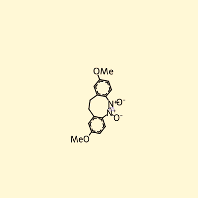 COc1ccc2c(c1)CCc1cc(OC)ccc1/[N+]([O-])=[N+]\2[O-]